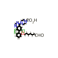 O=CCCCCCCOc1cccc(F)c1-c1c(Cl)cc2c(N3CCN(C(=O)O)CC3)ncnc2c1F